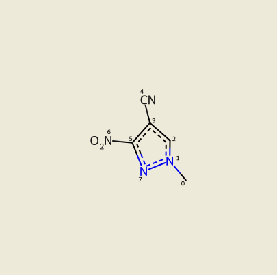 Cn1cc(C#N)c([N+](=O)[O-])n1